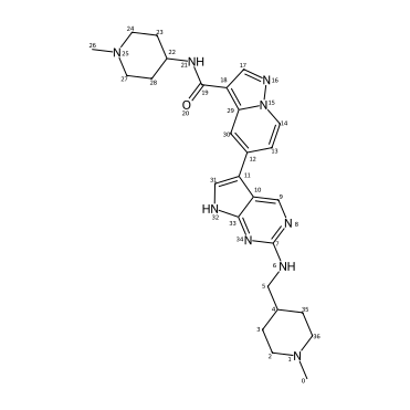 CN1CCC(CNc2ncc3c(-c4ccn5ncc(C(=O)NC6CCN(C)CC6)c5c4)c[nH]c3n2)CC1